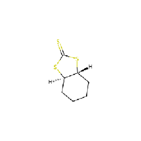 S=C1S[C@@H]2CCCC[C@H]2S1